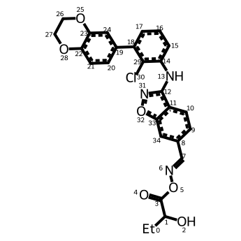 CCC(O)C(=O)ON=Cc1ccc2c(Nc3cccc(-c4ccc5c(c4)OCCO5)c3Cl)noc2c1